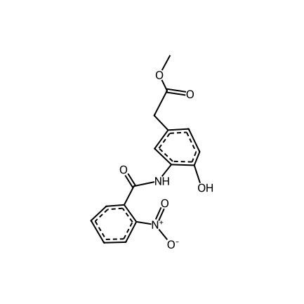 COC(=O)Cc1ccc(O)c(NC(=O)c2ccccc2[N+](=O)[O-])c1